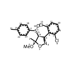 CO[C@]1(C)ON=C(c2c(Cl)cccc2Cl)[C@@H]1[S@@+]([O-])c1ccc(C)cc1